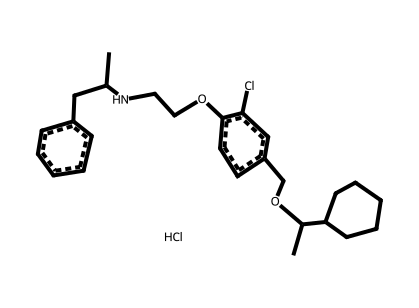 CC(Cc1ccccc1)NCCOc1ccc(COC(C)C2CCCCC2)cc1Cl.Cl